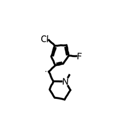 CN1CCCCC1[CH]c1cc(F)cc(Cl)c1